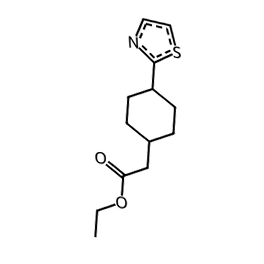 CCOC(=O)CC1CCC(c2nccs2)CC1